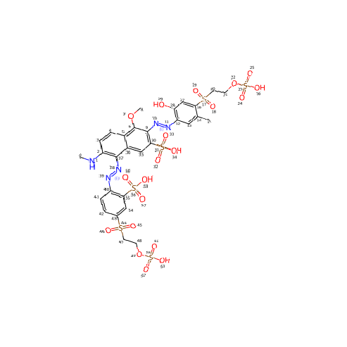 CNc1ccc2c(OC)c(/N=N/c3cc(C)c(S(=O)(=O)CCOS(=O)(=O)O)cc3O)c(S(=O)(=O)O)cc2c1/N=N/c1ccc(S(=O)(=O)CCOS(=O)(=O)O)cc1S(=O)(=O)O